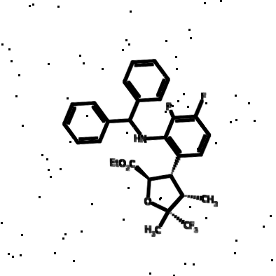 CCOC(=O)[C@@H]1O[C@@](C)(C(F)(F)F)[C@@H](C)[C@H]1c1ccc(F)c(F)c1NC(c1ccccc1)c1ccccc1